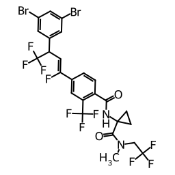 CN(CC(F)(F)F)C(=O)C1(NC(=O)c2ccc(C(F)=CC(c3cc(Br)cc(Br)c3)C(F)(F)F)cc2C(F)(F)F)CC1